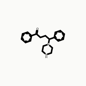 O=C(CCC(c1ccccc1)N1CCNCC1)c1ccccc1